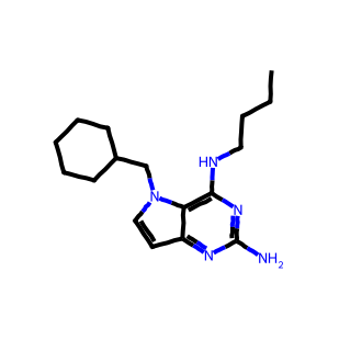 CCCCNc1nc(N)nc2ccn(CC3CCCCC3)c12